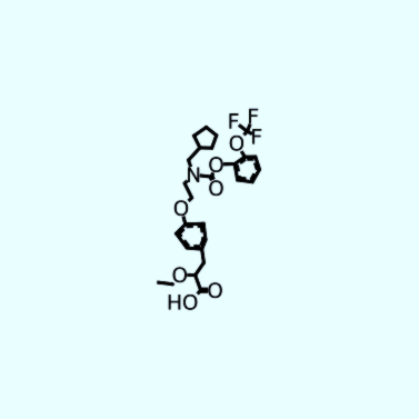 CCOC(Cc1ccc(OCCN(CC2CCCC2)C(=O)Oc2ccccc2OC(F)(F)F)cc1)C(=O)O